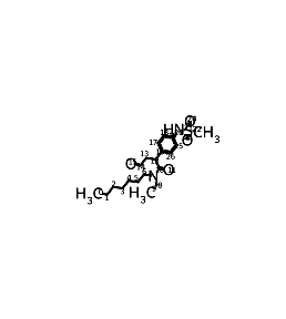 CCCCCCCN(CC)C(=O)C(CC=O)c1ccc(NS(C)(=O)=O)cc1